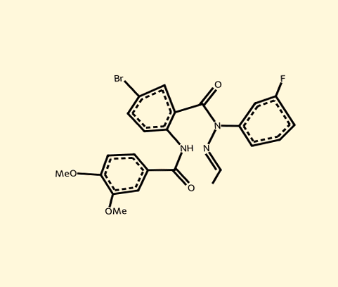 CC=NN(C(=O)c1cc(Br)ccc1NC(=O)c1ccc(OC)c(OC)c1)c1cccc(F)c1